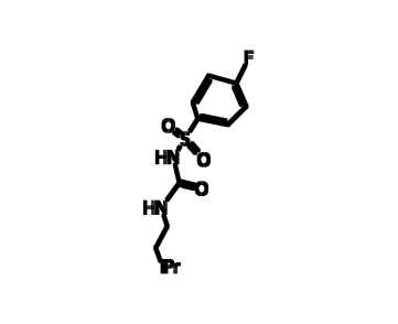 CC(C)CCNC(=O)NS(=O)(=O)c1ccc(F)cc1